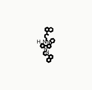 C=C(/C=C\C=C(/N)N1c2c(ccc3c2c2ccccc2n3-c2cccc(-c3cccc4ccccc34)n2)C2C=CC=CC21)c1cccc2c1C=CCC2